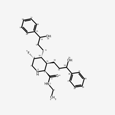 CCNC(=O)[C@H]1NC[C@H](F)[C@H](CCC(O)c2ccccc2)[C@H]1CCC(O)c1ccccc1